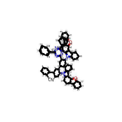 N#Cc1ccccc1-c1ccc(-n2c3ccccc3c3c4oc5ccccc5c4ccc32)c(-c2ccc(-n3c4ccccc4c4c5oc6ccccc6c5ccc43)c(-c3nc(-c4ccccc4)nc(-c4ccccc4)n3)c2)c1